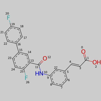 O=C(O)/C=C/c1cccc(NC(=O)c2cc(-c3ccc(F)cc3)ccc2F)c1